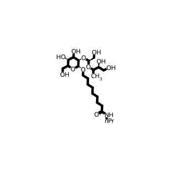 CCCNC(=O)CCCCCCCCO[C@@H]1OC(CO)[C@H](O)C(O)[C@@H]1O[C@@H](CO)OC(C)[C@@H](O)CO